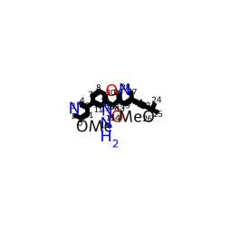 COc1cncc(-c2ccc3c(c2)[C@@]2(COC(N)=N2)c2cc(C#CC(C)(C)OC)cnc2O3)c1